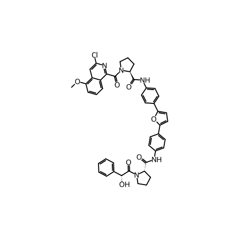 COc1cccc2c(C(=O)N3CCC[C@H]3C(=O)Nc3ccc(-c4ccc(-c5ccc(NC(=O)[C@@H]6CCCN6C(=O)[C@H](O)c6ccccc6)cc5)o4)cc3)nc(Cl)cc12